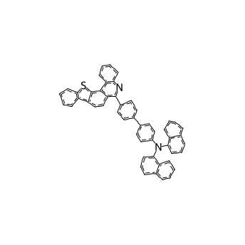 c1ccc2c(N(c3ccc(-c4ccc(-c5nc6ccccc6c6c5ccc5c7ccccc7sc56)cc4)cc3)c3cccc4ccccc34)cccc2c1